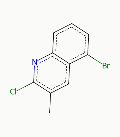 Cc1cc2c(Br)cccc2nc1Cl